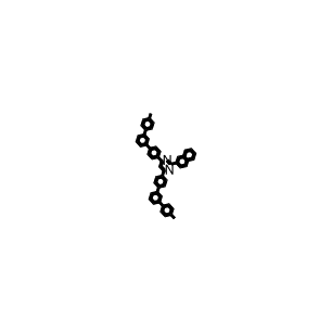 Cc1ccc(-c2cccc(-c3ccc(-c4cc(-c5ccc(-c6cccc(-c7ccc(C)cc7)c6)cc5)nc(-c5ccc6ccccc6c5)n4)cc3)c2)cc1